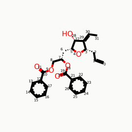 C=CC[C@@H]1O[C@H](C[C@@H](COC(=O)c2ccccc2)OC(=O)c2ccccc2)[C@H](O)/C1=C/C